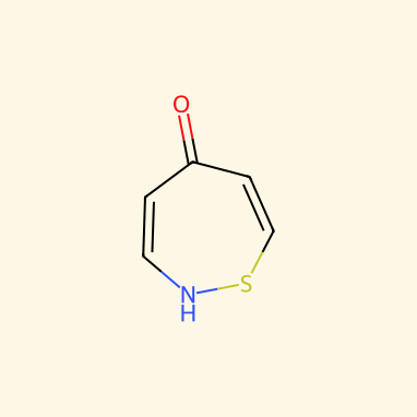 O=C1C=CNSC=C1